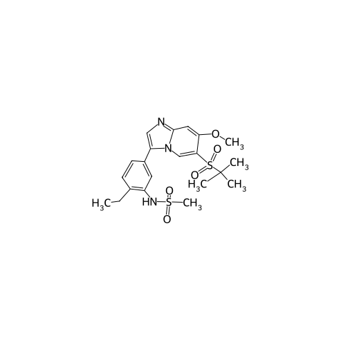 CCc1ccc(-c2cnc3cc(OC)c(S(=O)(=O)C(C)(C)C)cn23)cc1NS(C)(=O)=O